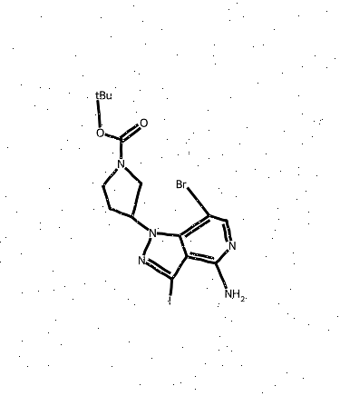 CC(C)(C)OC(=O)N1CCC(n2nc(I)c3c(N)ncc(Br)c32)C1